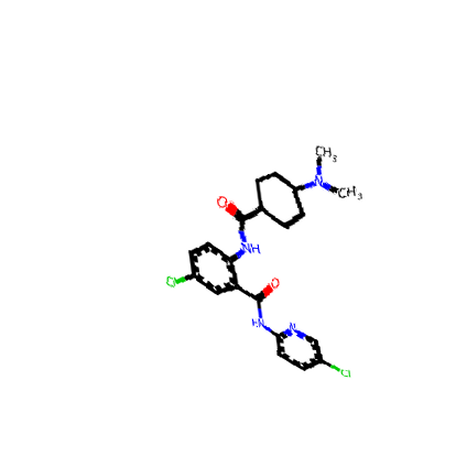 CN(C)C1CCC(C(=O)Nc2ccc(Cl)cc2C(=O)Nc2ccc(Cl)cn2)CC1